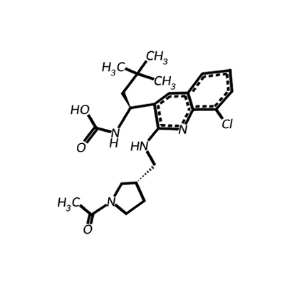 CC(=O)N1CC[C@@H](CNc2nc3c(Cl)cccc3cc2[C@H](CC(C)(C)C)NC(=O)O)C1